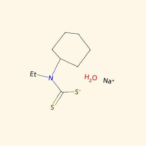 CCN(C(=S)[S-])C1CCCCC1.O.[Na+]